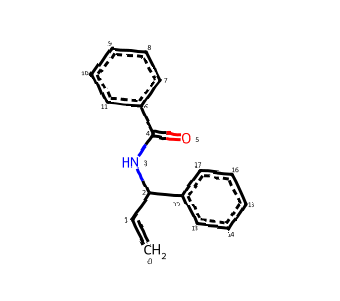 C=CC(NC(=O)c1ccccc1)c1ccccc1